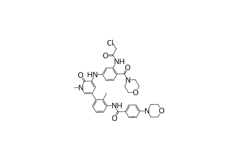 Cc1c(NC(=O)c2ccc(N3CCOCC3)cc2)cccc1-c1cc(Nc2ccc(C(=O)N3CCOCC3)c(NC(=O)CCl)c2)c(=O)n(C)c1